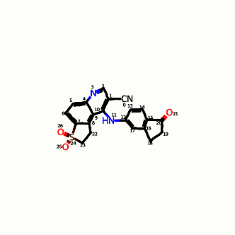 N#Cc1cnc2ccc3c(c2c1Nc1ccc2c(c1)CCC2=O)CCS3(=O)=O